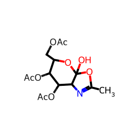 CC(=O)OCC1OC2(O)OC(C)=NC2C(OC(C)=O)C1OC(C)=O